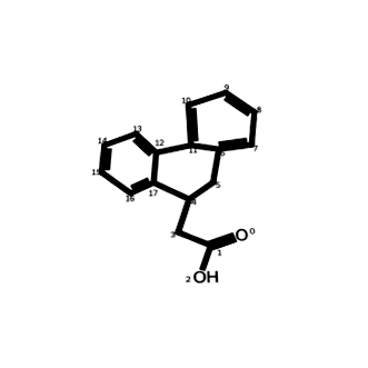 O=C(O)CC1Cc2ccccc2-c2ccccc21